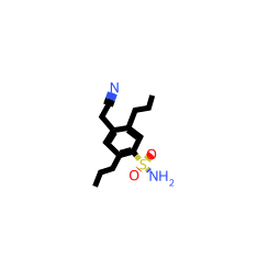 CCCc1cc(S(N)(=O)=O)c(CCC)cc1CC#N